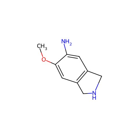 COc1cc2c(cc1N)CNC2